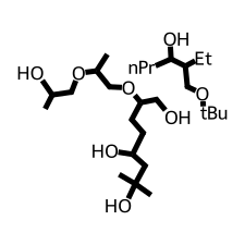 CC(O)COC(C)COC(CO)CCC(O)CC(C)(C)O.CCCC(O)C(CC)COC(C)(C)C